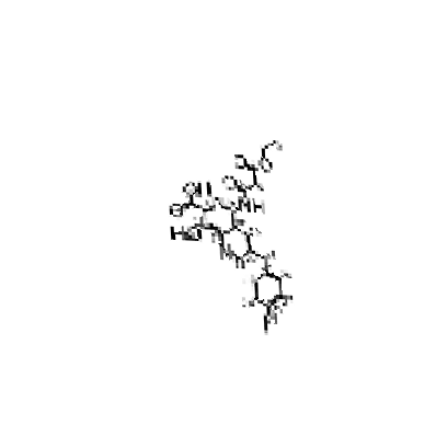 CCOC(=O)CC(=O)Nc1nc(C(=O)O)c(O)c2ncc(Cc3ccc(F)cc3)cc12